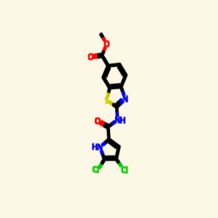 COC(=O)c1ccc2nc(NC(=O)c3cc(Cl)c(Cl)[nH]3)sc2c1